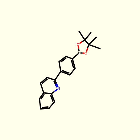 CC1(C)OB(c2ccc(-c3ccc4ccccc4n3)cc2)OC1(C)C